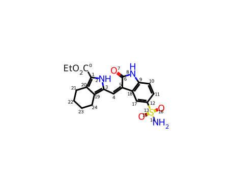 CCOC(=O)c1[nH]c(/C=C2\C(=O)Nc3ccc(S(N)(=O)=O)cc32)c2c1CCCC2